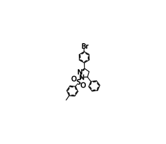 Cc1ccc(S(=O)(=O)N2N=C(c3ccc(Br)cc3)CC2c2ccccc2)cc1